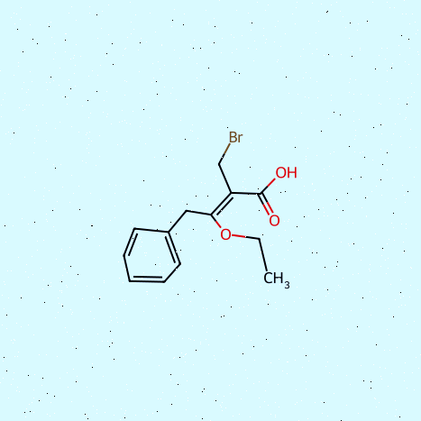 CCOC(Cc1ccccc1)=C(CBr)C(=O)O